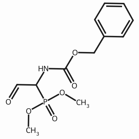 COP(=O)(OC)C(C=O)NC(=O)OCc1ccccc1